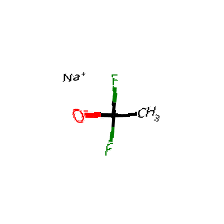 CC([O-])(F)F.[Na+]